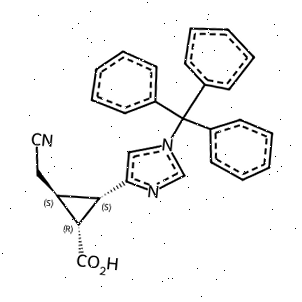 N#CC[C@@H]1[C@@H](C(=O)O)[C@H]1c1cn(C(c2ccccc2)(c2ccccc2)c2ccccc2)cn1